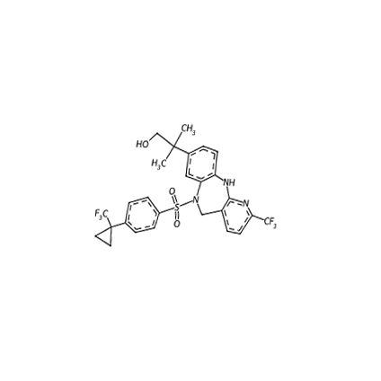 CC(C)(CO)c1ccc2c(c1)N(S(=O)(=O)c1ccc(C3(C(F)(F)F)CC3)cc1)Cc1ccc(C(F)(F)F)nc1N2